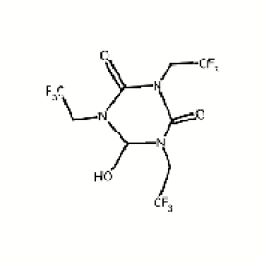 O=C1N(CC(F)(F)F)C(=O)N(CC(F)(F)F)C(O)N1CC(F)(F)F